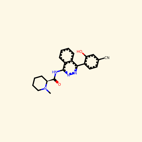 CN1CCCC[C@H]1C(=O)Nc1nnc(-c2ccc(C#N)cc2O)c2ccccc12